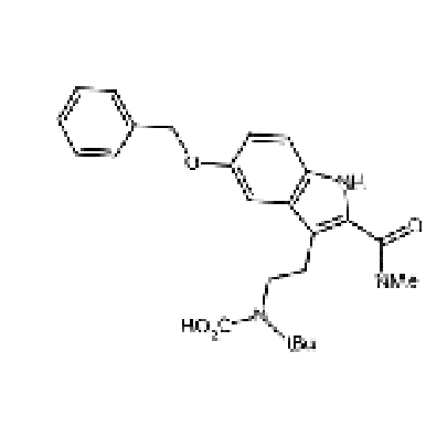 CNC(=O)c1[nH]c2ccc(OCc3ccccc3)cc2c1CCN(C(=O)O)C(C)(C)C